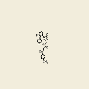 Cc1ccc(C(=O)CCC(=O)NCC2CN(c3cccc(F)c3N3CCOCC3)C(=O)O2)cc1